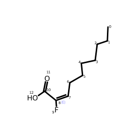 CCCCCCC/C=C(/F)C(=O)O